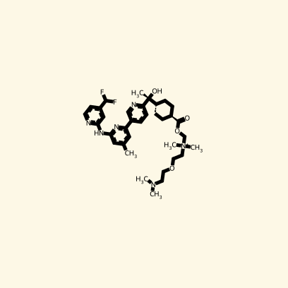 Cc1cc(Nc2cc(C(F)F)ccn2)nc(-c2ccc([C@](C)(O)[C@H]3CC[C@H](C(=O)OC[N+](C)(C)CCOCCN(C)C)CC3)nc2)c1